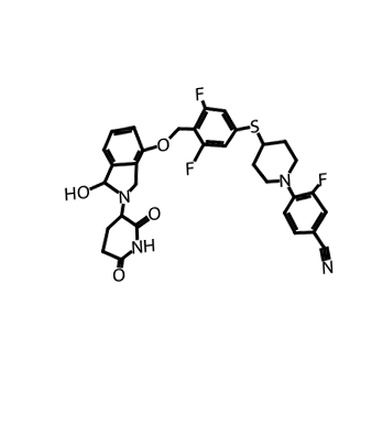 N#Cc1ccc(N2CCC(Sc3cc(F)c(COc4cccc5c4CN(C4CCC(=O)NC4=O)C5O)c(F)c3)CC2)c(F)c1